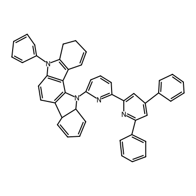 C1=CC2c3ccc4c(c5c(n4-c4ccccc4)CCC=C5)c3N(c3cccc(-c4cc(-c5ccccc5)cc(-c5ccccc5)n4)n3)C2C=C1